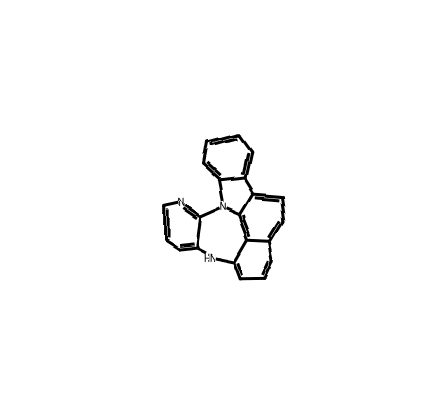 c1cc2ccc3c4ccccc4n4c5ncccc5[nH]c(c1)c2c34